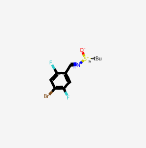 CC(C)(C)[S@@+]([O-])/N=C/c1cc(F)c(Br)cc1F